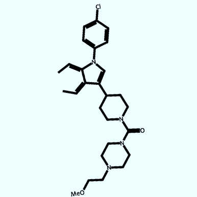 C/C=c1/c(C2CCN(C(=O)N3CCN(CCOC)CC3)CC2)cn(-c2ccc(Cl)cc2)/c1=C/C